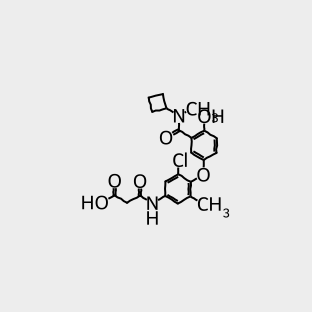 Cc1cc(NC(=O)CC(=O)O)cc(Cl)c1Oc1ccc(O)c(C(=O)N(C)C2CCC2)c1